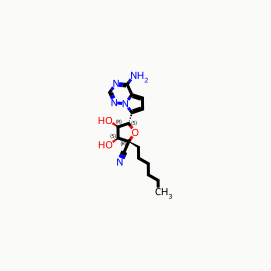 CCCCCC[C@]1(C#N)O[C@@H](c2ccc3c(N)ncnn23)[C@H](O)[C@@H]1O